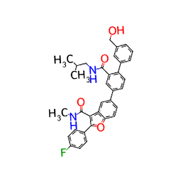 CNC(=O)c1c(-c2ccc(F)cc2)oc2ccc(-c3ccc(-c4cccc(CO)c4)c(C(=O)NCC(C)C)c3)cc12